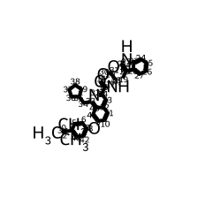 CC(C)(C)c1ccc(Oc2ccc3cc(C(=O)N[C@@H](Cc4c[nH]c5ccccc45)C(=O)O)nc(CC4CCCC4)c3c2)cc1